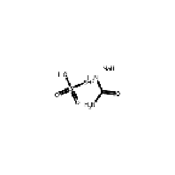 NC(N)=O.O=S(=O)(O)S.[NaH]